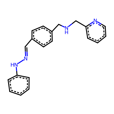 C(=N\Nc1ccccc1)/c1ccc(CNCc2ccccn2)cc1